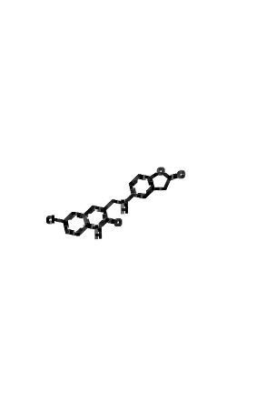 O=C1Cc2cc(NCc3cc4cc(Cl)ccc4[nH]c3=O)ccc2O1